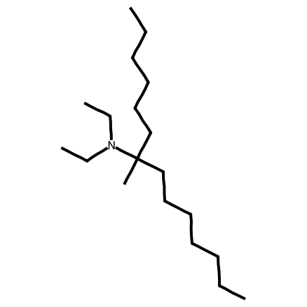 CCCCCCCC(C)(CCCCCC)N(CC)CC